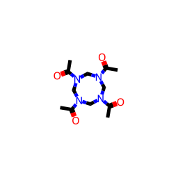 CC(=O)N1CN(C(C)=O)CN(C(C)=O)CN(C(C)=O)C1